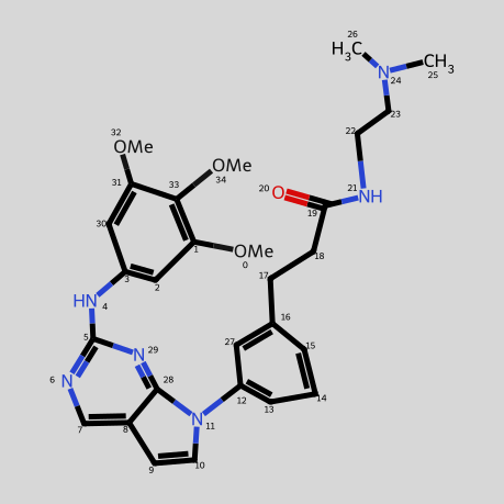 COc1cc(Nc2ncc3ccn(-c4cccc(CCC(=O)NCCN(C)C)c4)c3n2)cc(OC)c1OC